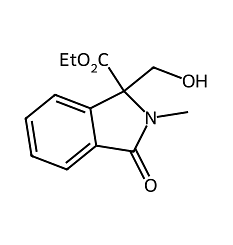 CCOC(=O)C1(CO)c2ccccc2C(=O)N1C